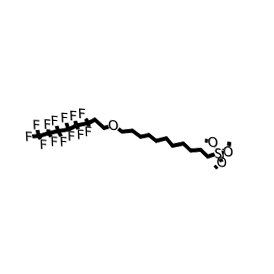 CO[Si](CCCCCCCCCCCOCCC(F)(F)C(F)(F)C(F)(F)C(F)(F)C(F)(F)C(F)(F)F)(OC)OC